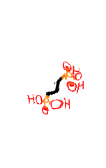 O=P(O)(O)[CH]CCP(=O)(O)O